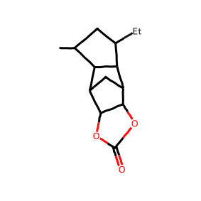 CCC1CC(C)C2C3CC(C4OC(=O)OC34)C12